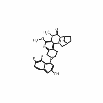 COc1nc2c(c3c1N(C)C(=O)C1C4CCC(CN31)N4)CCN(c1cc(O)cc3ccc(F)c(F)c13)C2